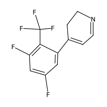 Fc1cc(F)c(C(F)(F)F)c(C2=CC=NCC2)c1